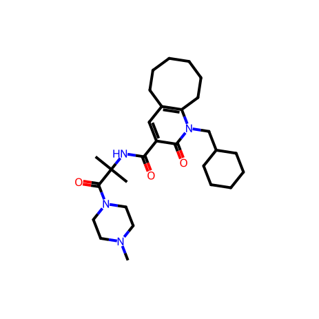 CN1CCN(C(=O)C(C)(C)NC(=O)c2cc3c(n(CC4CCCCC4)c2=O)CCCCCC3)CC1